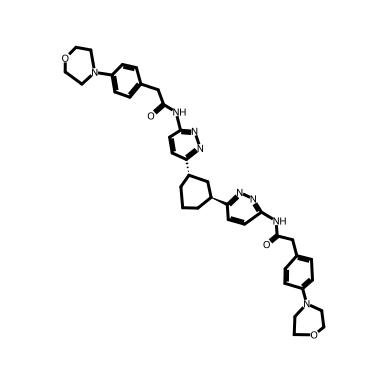 O=C(Cc1ccc(N2CCOCC2)cc1)Nc1ccc([C@H]2CCC[C@H](c3ccc(NC(=O)Cc4ccc(N5CCOCC5)cc4)nn3)C2)nn1